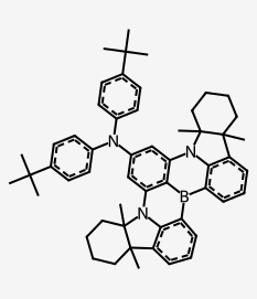 CC(C)(C)c1ccc(N(c2ccc(C(C)(C)C)cc2)c2cc3c4c(c2)N2c5c(cccc5C5(C)CCCCC25C)B4c2cccc4c2N3C2(C)CCCCC42C)cc1